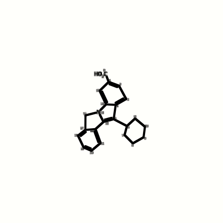 O=C(O)c1ccc2c(C3CCCCC3)c3n(c2c1)Cc1ccccc1-3